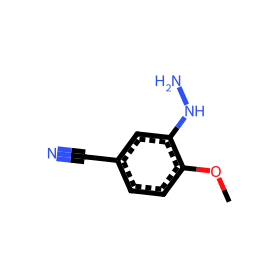 COc1ccc(C#N)cc1NN